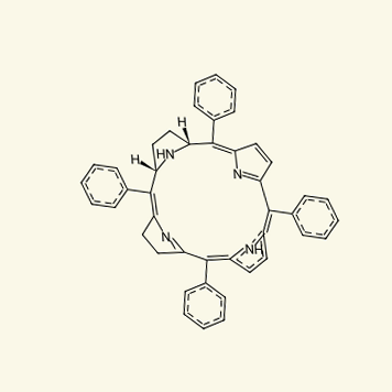 C1=CC2=C(c3ccccc3)[C@H]3CC[C@H](N3)C(c3ccccc3)=C3CCC(=N3)C(c3ccccc3)=c3ccc([nH]3)=C(c3ccccc3)C1=N2